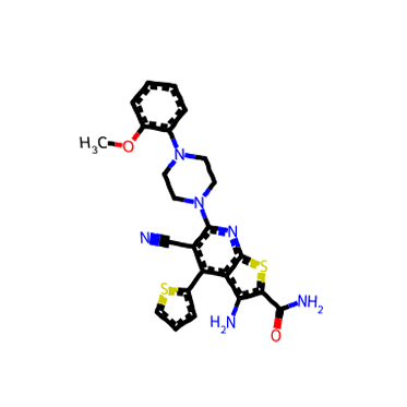 COc1ccccc1N1CCN(c2nc3sc(C(N)=O)c(N)c3c(-c3cccs3)c2C#N)CC1